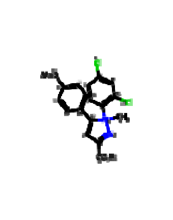 CCOC(=O)C1=N[N+](C)(c2ccc(Cl)cc2Cl)C(c2ccc(OC)cc2)=C1